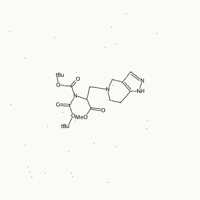 COC(=O)C(CN1CCc2[nH]ncc2C1)N(C(=O)OC(C)(C)C)C(=O)OC(C)(C)C